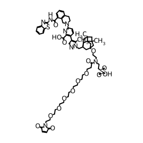 Cc1c(-c2ccc(N3CCc4cccc(C(=O)Nc5nc6ccccc6s5)c4C3)nc2C(=O)O)cnn1CC12CC3(OCCN(CCS(=O)(=O)O)C(=O)CCOCCOCCOCCOCCOCCOCCN4C(=O)C=CC4=O)CC4(C)CC(C)(C1)C4(C2)C3